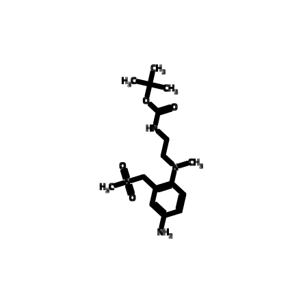 CN(CCNC(=O)OC(C)(C)C)c1ccc(N)cc1CS(C)(=O)=O